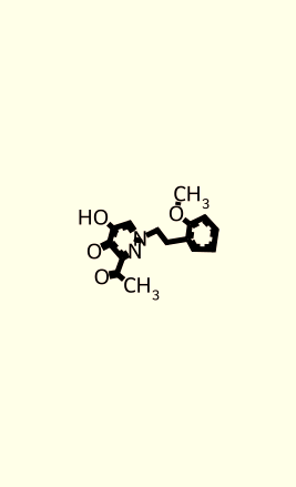 COc1ccccc1CCn1cc(O)c(=O)c(C(C)=O)n1